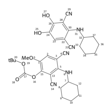 COc1cc(C#N)c(NC2CCCCC2)c(C#N)c1OC(=O)OC(C)(C)C.N#Cc1cc(O)c(O)c(C#N)c1NC1CCCCC1